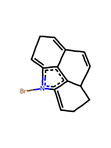 Brn1c2c3c4c1=CCCC4C=CC3=CCC=2